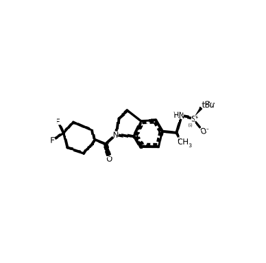 CC(N[S@+]([O-])C(C)(C)C)c1ccc2c(c1)CCN2C(=O)C1CCC(F)(F)CC1